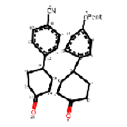 CCCCCc1ccc(C2CCC(=O)CC2)cc1.N#Cc1ccc(C2CCC(=O)CC2)cc1